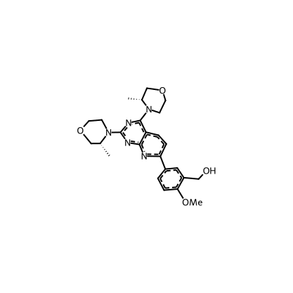 COc1ccc(-c2ccc3c(N4CCOC[C@H]4C)nc(N4CCOC[C@H]4C)nc3n2)cc1CO